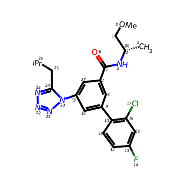 COC[C@H](C)NC(=O)c1cc(-c2ccc(F)cc2Cl)cc(-n2nnnc2CC(C)C)c1